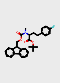 CN(C(=O)OCC1c2ccccc2-c2ccccc21)C(CCc1ccc(F)cc1)C(=O)OC(C)(C)C